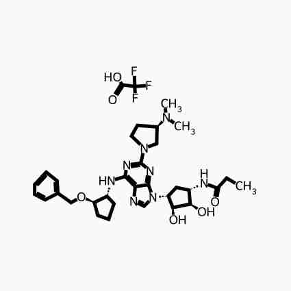 CCC(=O)N[C@H]1C[C@@H](n2cnc3c(N[C@@H]4CCC[C@H]4OCc4ccccc4)nc(N4CC[C@@H](N(C)C)C4)nc32)[C@H](O)[C@@H]1O.O=C(O)C(F)(F)F